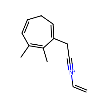 C=C[N+]#CCC1=CCC=CC(C)=C1C